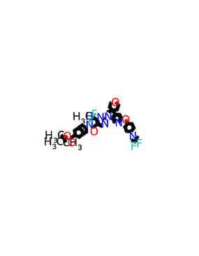 CC(C)(C)OC(=O)C1CC2CC(CC(NC(=O)c3cnc(N4CC5(CCOCC5)c5cc(OC6CCC(N7CC(F)(F)C7)CC6)ncc54)nc3C(C)(F)F)C2)C1